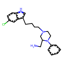 NCC1CN(CCCCc2c[nH]c3ccc(Cl)cc23)CCN1c1ccccc1